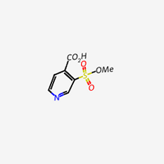 COS(=O)(=O)c1cnccc1C(=O)O